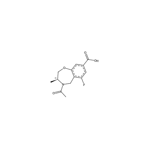 CC(=O)N1Cc2c(F)cc(C(=O)O)cc2OC[C@@H]1C